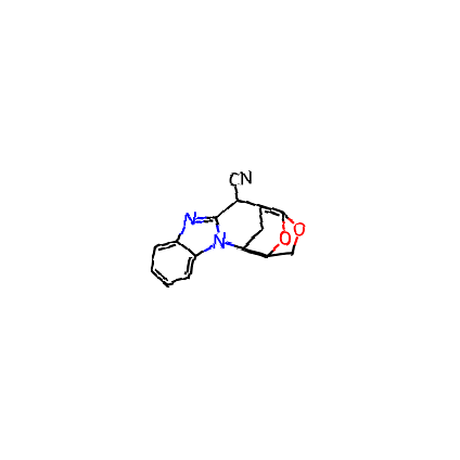 N#CC1C2=C3OCC(O3)C(C2)n2c1nc1ccccc12